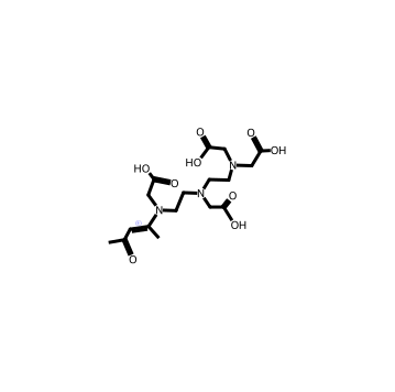 CC(=O)/C=C(\C)N(CCN(CCN(CC(=O)O)CC(=O)O)CC(=O)O)CC(=O)O